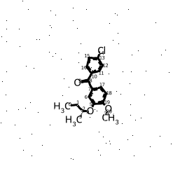 CC[C@@H](C)Oc1cc(C(=O)c2ccc(Cl)cc2)ccc1OC